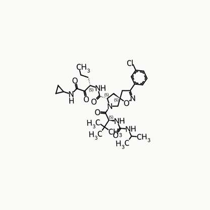 CCC[C@H](NC(=O)[C@@H]1C[C@]2(CC(c3cccc(Cl)c3)=NO2)CN1C(=O)[C@@H](NC(=O)NC(C)C)C(C)(C)C)C(=O)C(=O)NC1CC1